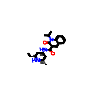 CC[C@@H]1C[C@H](NC(=O)c2cc3ccccc3n(C(C)C)c2=O)C[C@H](C)N1